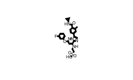 Cc1cc(-c2cnc3c(NCCS(=O)(=O)O)cc(Oc4cccc(F)c4)nn23)ccc1C(=O)NC1CC1